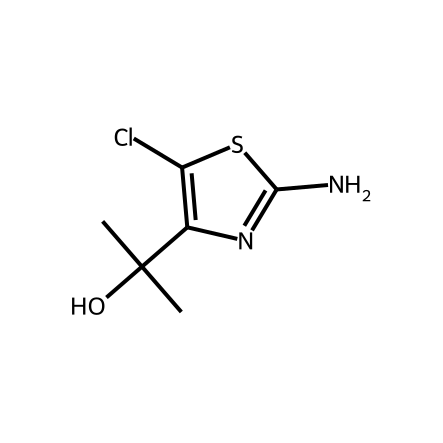 CC(C)(O)c1nc(N)sc1Cl